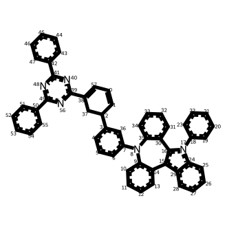 C1=CC(c2cccc(N3c4ccccc4-c4c(n(-c5ccccc5)c5ccccc45)-c4ccccc43)c2)CC(c2nc(-c3ccccc3)nc(-c3ccccc3)n2)=C1